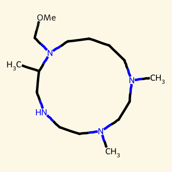 COCN1CCCCN(C)CCN(C)CCNCC1C